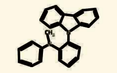 CN(c1ccccc1)c1ccccc1-n1c2ccccc2c2ccccc21